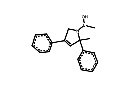 CB(O)N1CC(c2ccccc2)=CC1(C)c1ccccc1